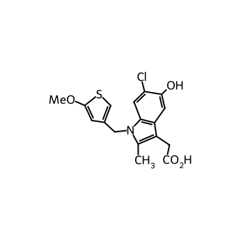 COc1cc(Cn2c(C)c(CC(=O)O)c3cc(O)c(Cl)cc32)cs1